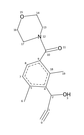 C#CC(O)c1c(C)ccc(C(=O)N2CCOCC2)c1C